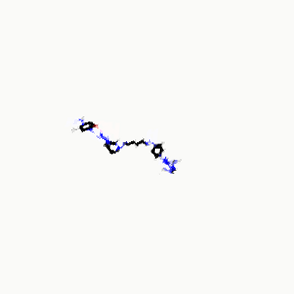 CCNc1cc(O)c(/N=N/c2ccc[n+](CCCCCCNc3ccc(/N=N/c4n(C)cc[n+]4C)cc3)c2)cc1C